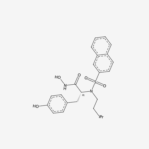 CC(C)CCN([C@H](Cc1ccc(O)cc1)C(=O)NO)S(=O)(=O)c1ccc2ccccc2c1